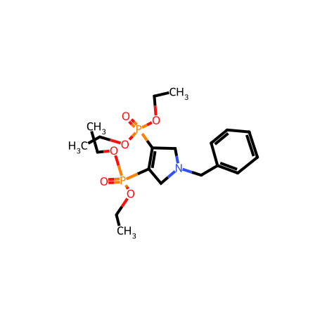 CCOP(=O)(OCC)C1=C(P(=O)(OCC)OCC)CN(Cc2ccccc2)C1